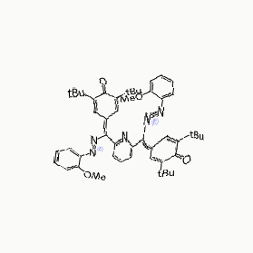 COc1ccccc1/N=N/C(=C1C=C(C(C)(C)C)C(=O)C(C(C)(C)C)=C1)c1cccc(C(/N=N/c2ccccc2OC)=C2C=C(C(C)(C)C)C(=O)C(C(C)(C)C)=C2)n1